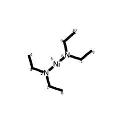 CC[N](CC)[Ni][N](CC)CC